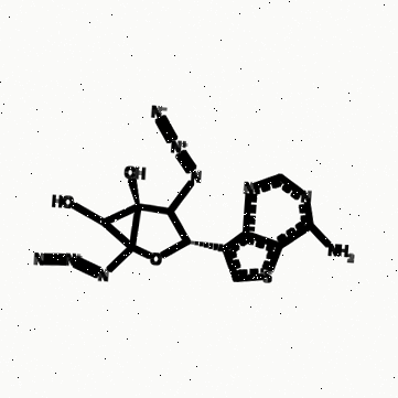 [N-]=[N+]=NC1[C@H](c2csc3c(N)ncnc23)OC2(N=[N+]=[N-])C(O)[C@]12O